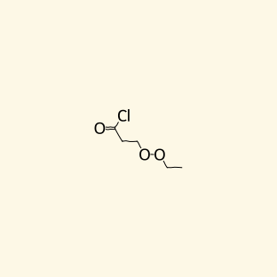 CCOOCCC(=O)Cl